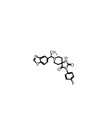 C[C@H](c1ccc2scnc2c1)N1CCC2(CC1)NC(=O)N(c1ccc(F)cc1)C2=O